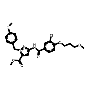 COCCCOc1ccc(C(=O)Nc2cc(C(=O)OC)n(Cc3ccc(OC)cc3)n2)cc1Cl